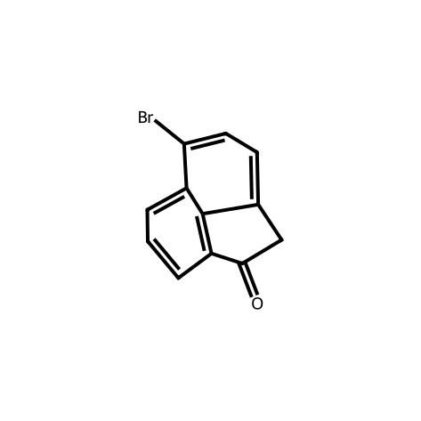 O=C1Cc2ccc(Br)c3cccc1c23